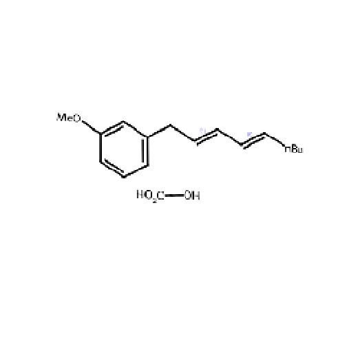 CCCC/C=C/C=C/Cc1cccc(OC)c1.O=C(O)O